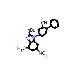 CCCCc1nc2c(C)cc([N+](=O)[O-])cc2n1-c1ccc(-c2ccccc2)c(C#N)c1